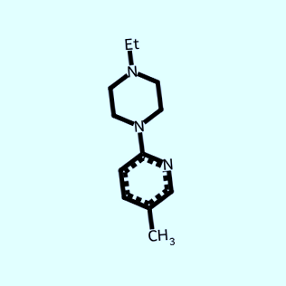 CCN1CCN(c2ccc(C)cn2)CC1